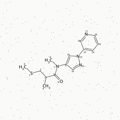 CSCC(C)C(=O)N(C)c1cnn(-c2cccnc2)c1